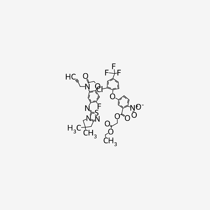 C#CCN1C(=O)COc2cc(F)c(/N=c3\snc4n3CC(C)(C)C4)cc21.CCOC(=O)COC(=O)c1cc(Oc2ccc(C(F)(F)F)cc2Cl)ccc1[N+](=O)[O-]